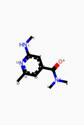 CNc1cc(C(=O)N(C)C)cc(C)n1